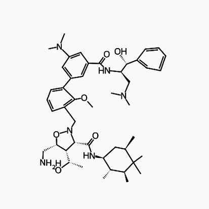 COc1c(CN2O[C@@H](CN)[C@@H]([C@H](C)O)[C@H]2C(=O)N[C@H]2C[C@@H](C)C(C)(C)[C@@H](C)[C@@H]2C)cccc1-c1cc(C(=O)N[C@H](CN(C)C)[C@H](O)c2ccccc2)cc(N(C)C)c1